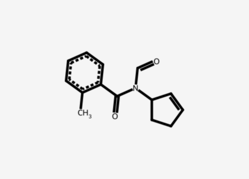 Cc1ccccc1C(=O)N(C=O)C1C=CCC1